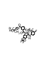 COc1ccc(C(=O)N2CC(C(C)(C)O)C2)cc1C(=O)Nc1cc2c(cc1C(=O)Nc1ccc(F)c(C(F)(F)F)c1)OC(F)(F)O2